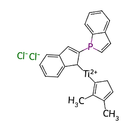 CC1=CC[C]([Ti+2][CH]2C(p3ccc4ccccc43)=Cc3ccccc32)=C1C.[Cl-].[Cl-]